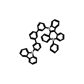 c1ccc(N2c3ccccc3-c3c(n(-c4cccc(-c5cccc(-c6cccc(-n7c8ccccc8c8ccccc87)c6)c5)c4)c4ccccc34)-c3ccccc32)cc1